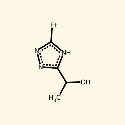 CCc1nnc(C(C)O)[nH]1